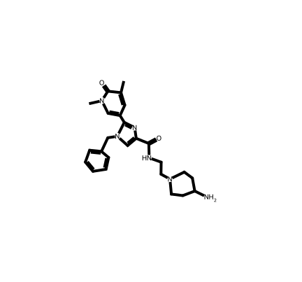 Cc1cc(-c2nc(C(=O)NCCN3CCC(N)CC3)cn2Cc2ccccc2)cn(C)c1=O